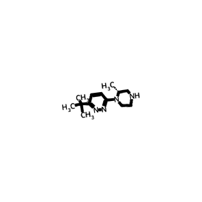 C[C@@H]1CNCCN1c1ccc(C(C)(C)C)nn1